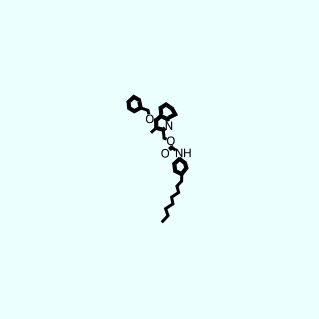 CCCCCCCCc1ccc(NC(=O)OCc2nc3ccccc3c(OCc3ccccc3)c2C)cc1